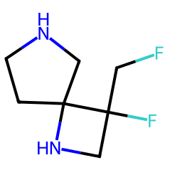 FCC1(F)CNC12CCNC2